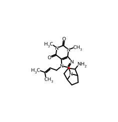 CC(C)=CCn1c(N2C3CCC(N)C2CC3)nc2c1c(=O)n(C)c(=O)n2C